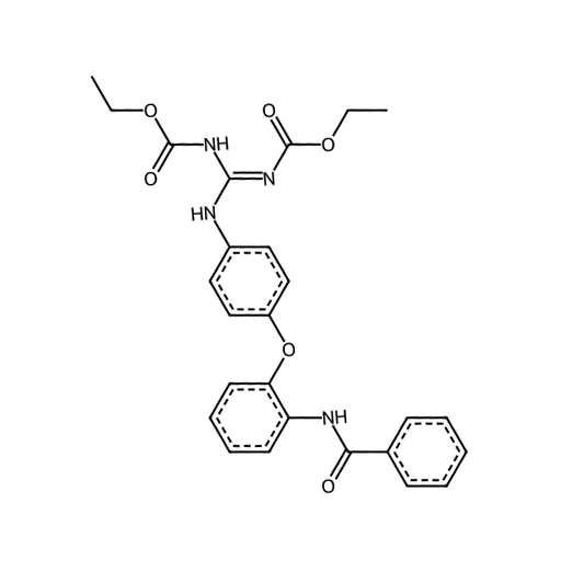 CCOC(=O)N=C(NC(=O)OCC)Nc1ccc(Oc2ccccc2NC(=O)c2ccccc2)cc1